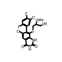 COC(CO)CSc1c(-c2cc(Cl)c(F)cc2F)c(Cl)cc2c(=O)[nH]c(=O)[nH]c12